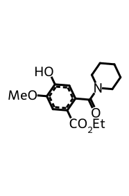 CCOC(=O)c1cc(OC)c(O)cc1C(=O)N1CCCCC1